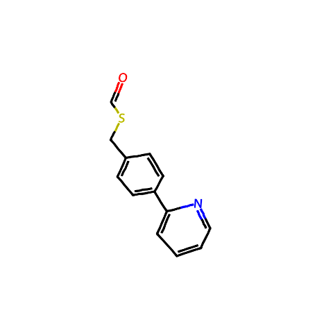 O=CSCc1ccc(-c2ccccn2)cc1